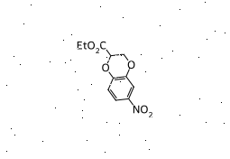 CCOC(=O)C1COc2cc([N+](=O)[O-])ccc2O1